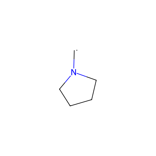 [CH2]N1CCCC1